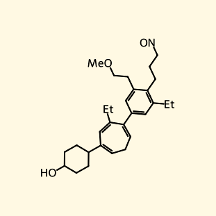 CCC1=CC(C2CCC(O)CC2)=CCC=C1c1cc(CC)c(CCCN=O)c(CCOC)c1